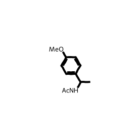 COc1ccc(C(C)NC(C)=O)cc1